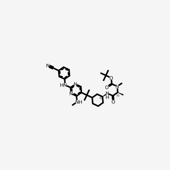 CNc1nc(Nc2cccc(C#N)c2)ncc1C(C)(C)C1CCC[C@H](NC(=O)[C@H](C)N(C)C(=O)OC(C)(C)C)C1